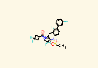 CCS(=O)(=O)N[C@@H]1[C@H](Cc2cccc(-c3cccc(F)c3)c2F)N(C(=O)C2CC(F)(F)C2)CC1(F)F